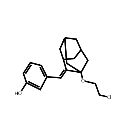 Oc1cccc(C=C2C3CC4CC(C3)CC2(OCCCl)C4)c1